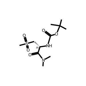 CN(C)C(=O)[C@H](CS(C)(=O)=O)NC(=O)OC(C)(C)C